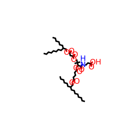 CCCCCCCCC(CCCCCC)COC(=O)CCCC(=O)OC(C(=O)NCCC(=O)O)C(C)(C)COC(=O)CC(=O)OCC(CCCCCC)CCCCCCCC